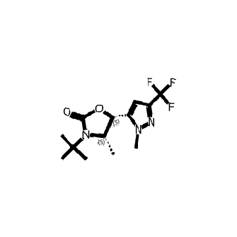 C[C@H]1[C@@H](c2cc(C(F)(F)F)nn2C)OC(=O)N1C(C)(C)C